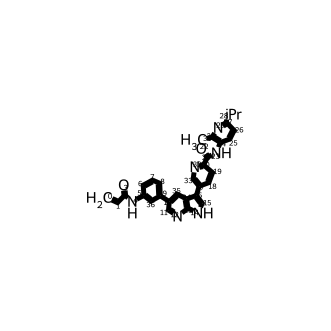 C=CC(=O)Nc1cccc(-c2cnc3[nH]cc(-c4ccc(C(=O)Nc5ccc(C(C)C)nc5C)nc4)c3c2)c1